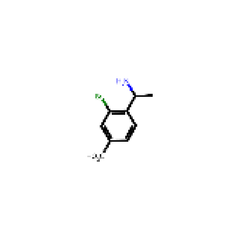 C[C@H](N)c1ccc(C(=O)O)cc1Br